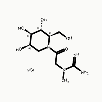 Br.CN(CC(=O)N1C[C@@H](O)[C@@H](O)[C@H](O)[C@H]1CO)C(=N)N